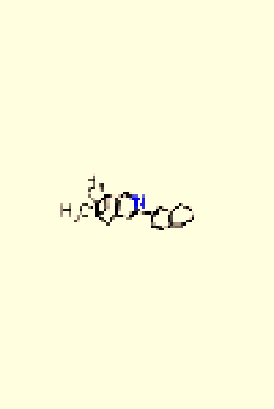 CC1(C)C2Cc3cc(-c4ccc5c(c4)CCCC5)ncc3C1C2